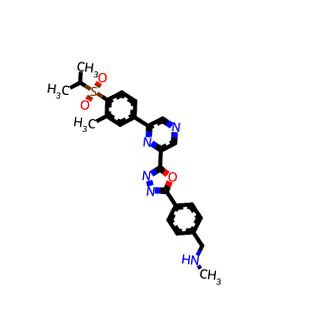 CNCc1ccc(-c2nnc(-c3cncc(-c4ccc(S(=O)(=O)C(C)C)c(C)c4)n3)o2)cc1